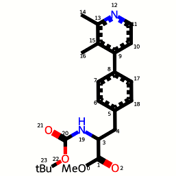 COC(=O)C(Cc1ccc(-c2ccnc(C)c2C)cc1)NC(=O)OC(C)(C)C